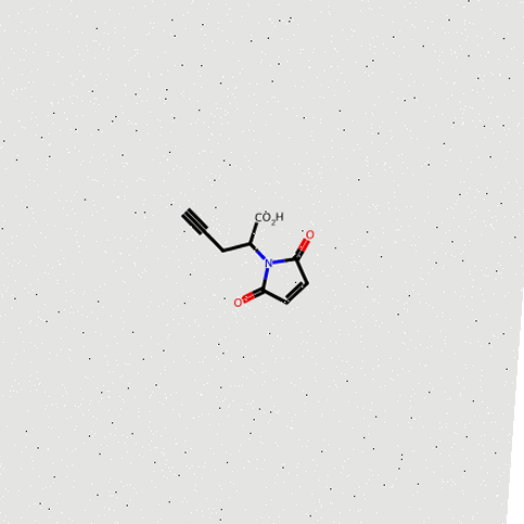 C#CCC(C(=O)O)N1C(=O)C=CC1=O